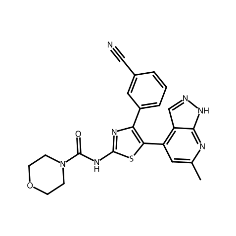 Cc1cc(-c2sc(NC(=O)N3CCOCC3)nc2-c2cccc(C#N)c2)c2cn[nH]c2n1